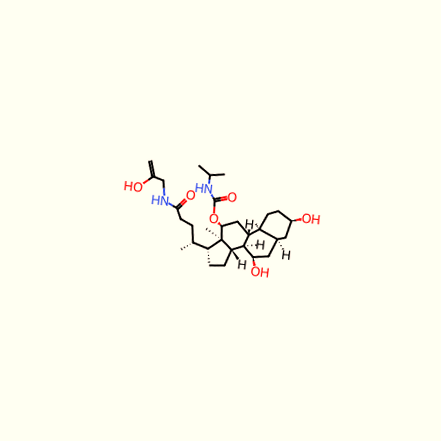 C=C(O)CNC(=O)CC[C@@H](C)[C@H]1CC[C@H]2[C@@H]3[C@H](O)C[C@@H]4C[C@H](O)CC[C@]4(C)[C@H]3C[C@H](OC(=O)NC(C)C)[C@]12C